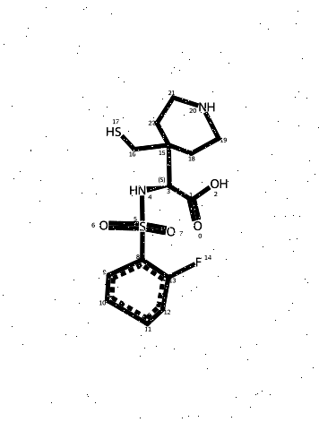 O=C(O)[C@@H](NS(=O)(=O)c1ccccc1F)C1(CS)CCNCC1